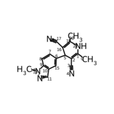 CC1=C(C#N)C(c2ccc3c(cnn3C)c2)C(C#N)=C(C)N1